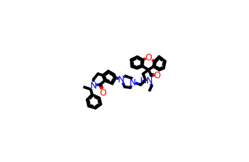 CCNC(=O)C1(CCCN2CCN(c3ccc4c(c3)C(=O)N(C(C)c3ccccc3)CC4)CC2)c2ccccc2Oc2ccccc21